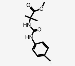 COC(=O)C(C)(C)NC(=O)Nc1ccc(I)cc1